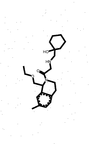 CCOCC1c2cc(C)ccc2CCN1C(=O)CNCC1(O)CCCCC1